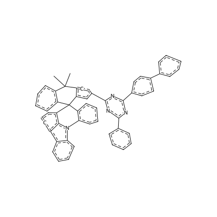 CC1(C)c2ccccc2C2(c3ccccc3-n3c4ccccc4c4cccc2c43)c2cc(-c3nc(-c4ccccc4)nc(-c4ccc(-c5ccccc5)cc4)n3)ccc21